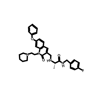 C[C@H](NCc1cc2ccc(Oc3ccccc3)cc2n(CCN2CCCCC2)c1=O)C(=O)NCc1ccc(F)cc1